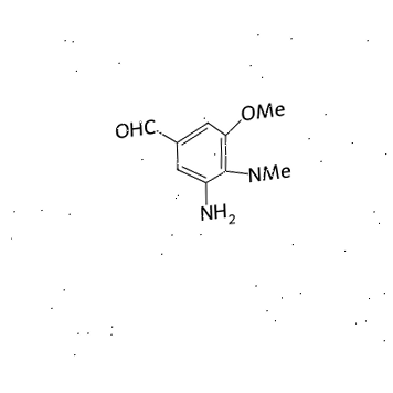 CNc1c(N)cc(C=O)cc1OC